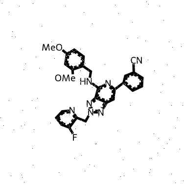 COc1ccc(CNc2nc(-c3cccc(C#N)c3)cc3nn(Cc4ncccc4F)nc23)c(OC)c1